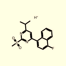 CC(C)c1cc(-c2ccc(F)c3ccccc23)nc(S(C)(=O)=O)n1.[H+]